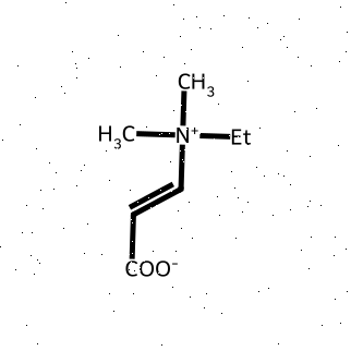 CC[N+](C)(C)C=CC(=O)[O-]